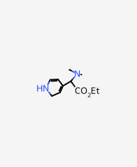 CCOC(=O)C(C1=CCNC=C1)N(C)C